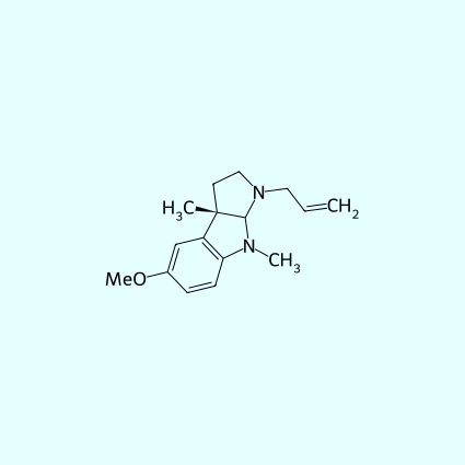 C=CCN1CC[C@@]2(C)c3cc(OC)ccc3N(C)C12